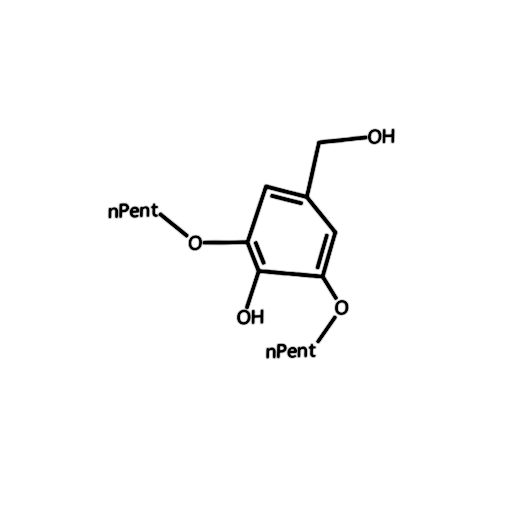 CCCCCOc1cc(CO)cc(OCCCCC)c1O